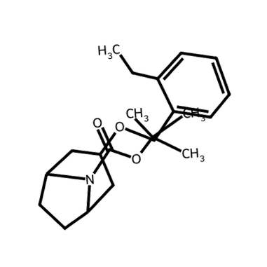 CCc1ccccc1COC1CC2CCC(C1)N2C(=O)OC(C)(C)C